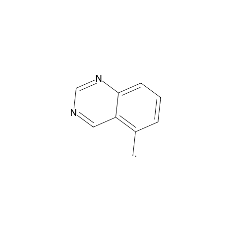 [CH2]c1cccc2ncncc12